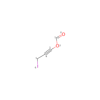 O=COC#CCI